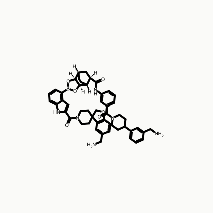 NCc1cccc(C2CCN(C(=O)c3cccc(NC(=O)[C@@H]4C[C@@H]5CC[C@H]4[C@H]4OB(c6cccc7[nH]c(C(=O)N8CCC9(CC8)COc8ccc(CN)cc89)cc67)O[C@@H]54)c3)CC2)c1